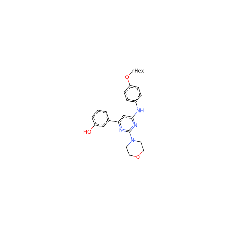 CCCCCCOc1ccc(Nc2cc(-c3cccc(O)c3)nc(N3CCOCC3)n2)cc1